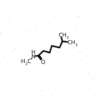 [CH2]NC(=O)CCCCC(C)C